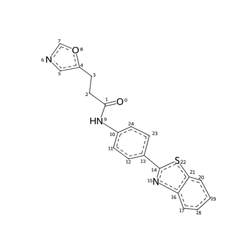 O=C(CCc1cnco1)Nc1ccc(-c2nc3ccccc3s2)cc1